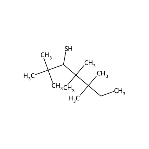 CCC(C)(C)C(C)(C)C(S)C(C)(C)C